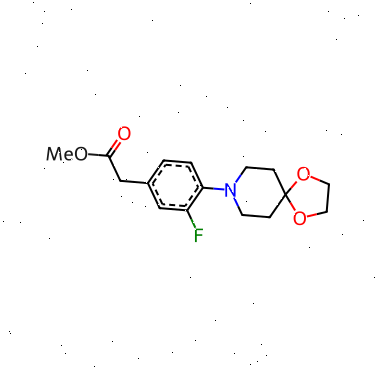 COC(=O)Cc1ccc(N2CCC3(CC2)OCCO3)c(F)c1